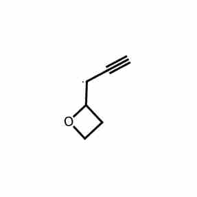 C#C[CH]C1CCO1